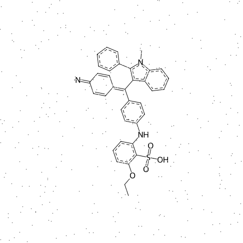 CCOc1cccc(Nc2ccc(C(=C3C=CC(=[N])C=C3)c3c(-c4ccccc4)n(C)c4ccccc34)cc2)c1S(=O)(=O)O